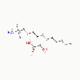 CCCCCCCCCCCC(C)(C)N.O=C(O)CO